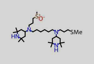 CSCCCN(CCCCCCN(CCC[S+](C)[O-])C1CC(C)(C)NC(C)(C)C1)C1CC(C)(C)NC(C)(C)C1